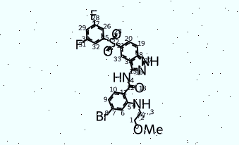 COC[C@@H](C)Nc1cc(Br)ccc1C(=O)Nc1n[nH]c2ccc(S(=O)(=O)c3cc(F)cc(F)c3)cc12